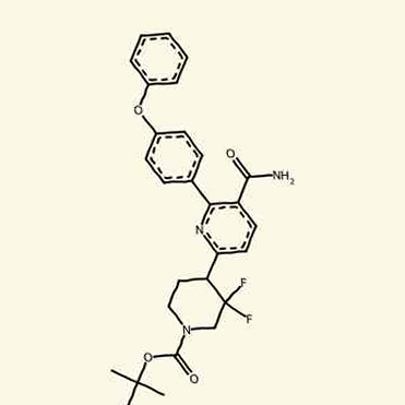 CC(C)(C)OC(=O)N1CCC(c2ccc(C(N)=O)c(-c3ccc(Oc4ccccc4)cc3)n2)C(F)(F)C1